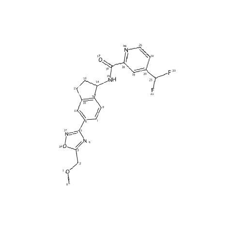 COCc1nc(-c2ccc3c(c2)CCC3NC(=O)c2cc(C(F)F)ccn2)no1